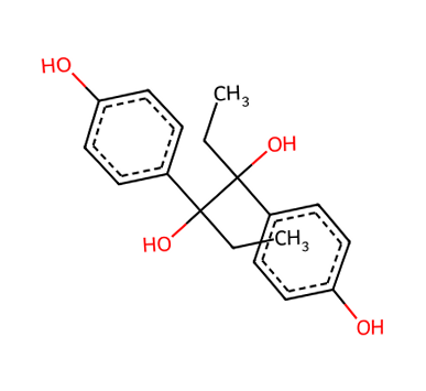 CCC(O)(c1ccc(O)cc1)C(O)(CC)c1ccc(O)cc1